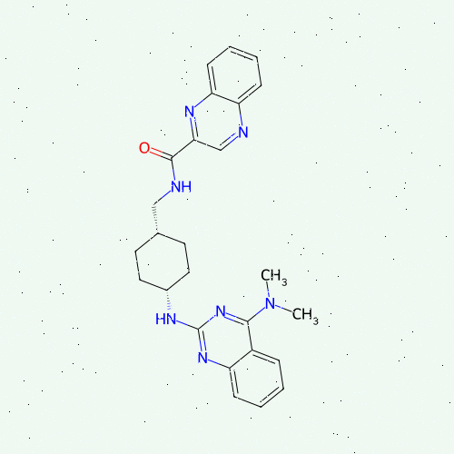 CN(C)c1nc(N[C@H]2CC[C@@H](CNC(=O)c3cnc4ccccc4n3)CC2)nc2ccccc12